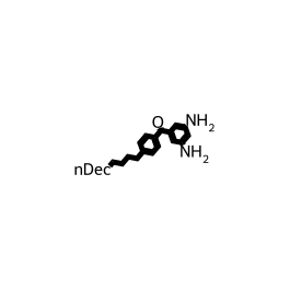 CCCCCCCCCCCCCCc1ccc(C(=O)c2cc(N)cc(N)c2)cc1